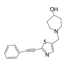 OC1CCN(Cc2cnc(C#Cc3ccccc3)s2)CC1